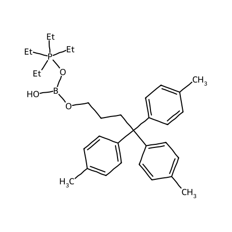 CCP(CC)(CC)(CC)OB(O)OCCCC(c1ccc(C)cc1)(c1ccc(C)cc1)c1ccc(C)cc1